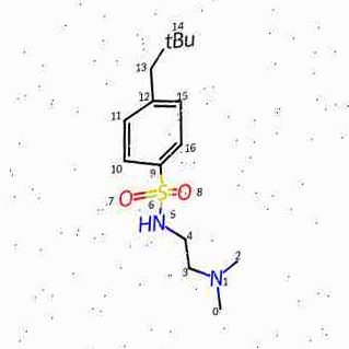 CN(C)CCNS(=O)(=O)c1ccc(CC(C)(C)C)cc1